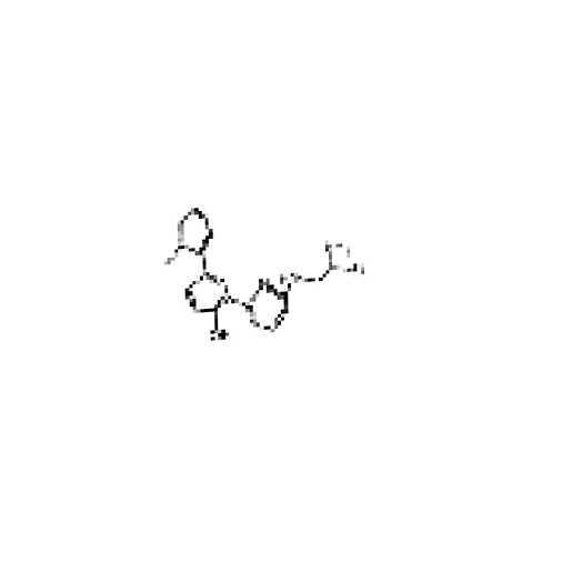 CCC(N)CNc1ccnc(-c2cc(-c3ccccc3C)ccc2O)n1